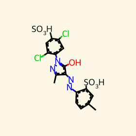 Cc1ccc(N=Nc2c(C)nn(-c3cc(Cl)c(S(=O)(=O)O)cc3Cl)c2O)c(S(=O)(=O)O)c1